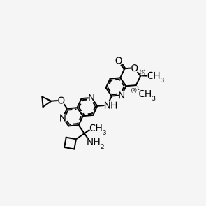 C[C@@H]1OC(=O)c2ccc(Nc3cc4c(C(C)(N)C5CCC5)cnc(OC5CC5)c4cn3)nc2[C@H]1C